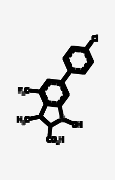 CC1c2c(cc(-c3ccc(Cl)cc3)cc2C(F)(F)F)N(O)C1C(=O)O